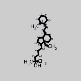 C=CC12CCC/C(=C\C=C3\CCCCC3=C)C1CCC2CCCCC(C)(C)O